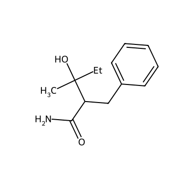 [CH2]CC(C)(O)C(Cc1ccccc1)C(N)=O